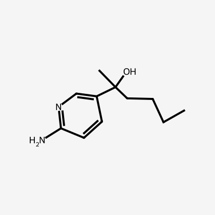 CCCCC(C)(O)c1ccc(N)nc1